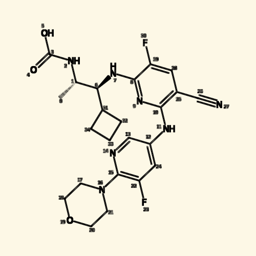 C[C@H](NC(=O)O)[C@@H](Nc1nc(Nc2cnc(N3CCOCC3)c(F)c2)c(C#N)cc1F)C1CCC1